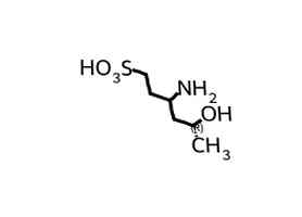 C[C@@H](O)CC(N)CCS(=O)(=O)O